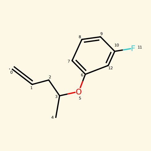 [CH]=CCC(C)Oc1cccc(F)c1